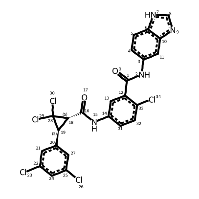 O=C(Nc1ccc2[nH]cnc2c1)c1cc(NC(=O)[C@@H]2[C@@H](c3cc(Cl)cc(Cl)c3)C2(Cl)Cl)ccc1Cl